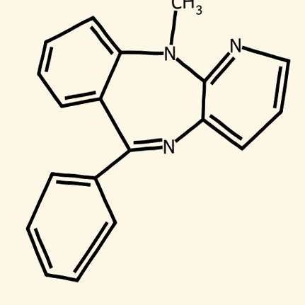 CN1c2ccccc2C(c2ccccc2)=Nc2cccnc21